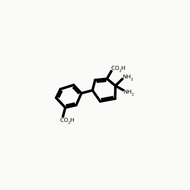 NC1(N)C=CC(c2cccc(C(=O)O)c2)C=C1C(=O)O